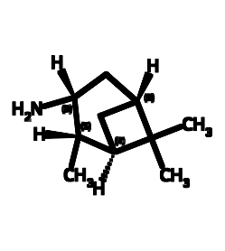 C[C@@H]1[C@H](N)C[C@H]2C[C@H]1C2(C)C